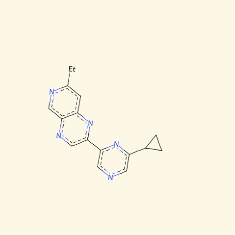 CCc1cc2nc(-c3cncc(C4CC4)n3)cnc2cn1